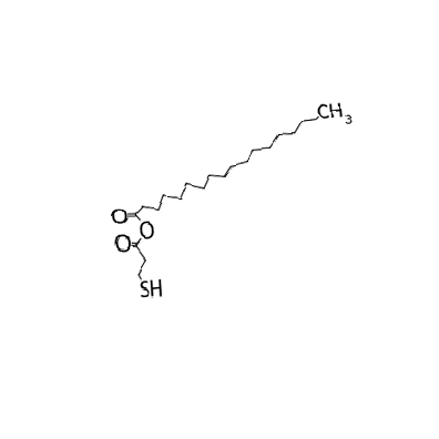 CCCCCCCCCCCCCCCCCC(=O)OC(=O)CCS